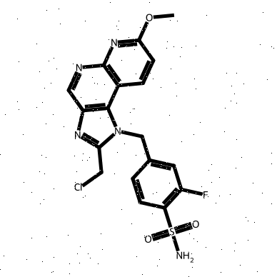 COc1ccc2c(ncc3nc(CCl)n(Cc4ccc(S(N)(=O)=O)c(F)c4)c32)n1